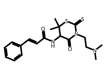 CN(C)CCN1C(=O)C(NC(=O)C=Cc2ccccc2)C(C)(C)SC1=S